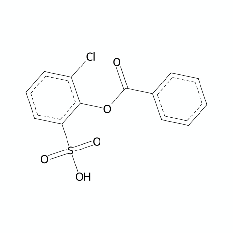 O=C(Oc1c(Cl)cccc1S(=O)(=O)O)c1ccccc1